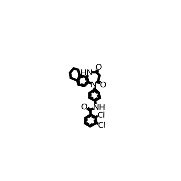 O=C1CC(=O)N(c2ccc(NC(=O)c3cccc(Cl)c3Cl)cc2)c2ccc3c(c2N1)CCCC3